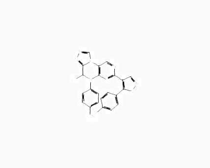 CCC1c2nncn2-c2cnc(-c3cnsc3-c3ccc(F)cc3)nc2N1c1ccc(C#N)cc1